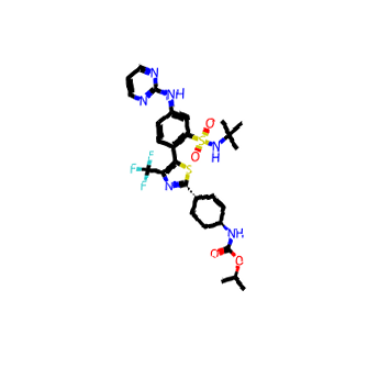 CC(C)OC(=O)N[C@H]1CC[C@H](c2nc(C(F)(F)F)c(-c3ccc(Nc4ncccn4)cc3S(=O)(=O)NC(C)(C)C)s2)CC1